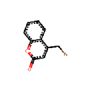 O=c1cc(CBr)c2ccccc2o1